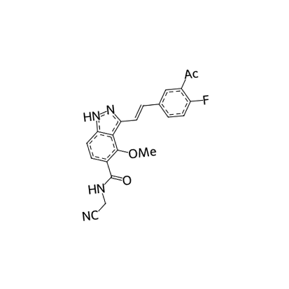 COc1c(C(=O)NCC#N)ccc2[nH]nc(/C=C/c3ccc(F)c(C(C)=O)c3)c12